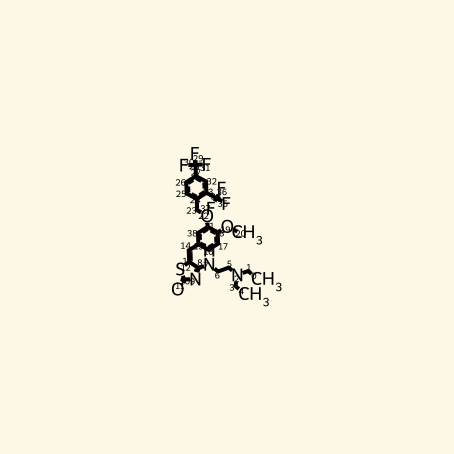 CCN(CC)CCNC1=NC(=O)SC1=Cc1ccc(OC)c(OCc2ccc(C(F)(F)F)cc2C(F)(F)F)c1